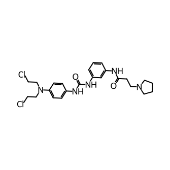 O=C(CCN1CCCC1)Nc1cccc(NC(=O)Nc2ccc(N(CCCl)CCCl)cc2)c1